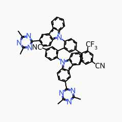 Cc1nc(C)nc(-c2ccc3c(c2)c2ccccc2n3-c2ccc(C#N)cc2-c2cc(-c3ccc(C#N)cc3C(F)(F)F)ccc2-n2c3ccccc3c3cc(-c4nc(C)nc(C)n4)ccc32)n1